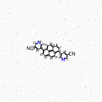 N#Cc1cncc(-c2ccc3ccc4c(-c5cncc(C#N)c5)ccc5ccc2c3c54)c1